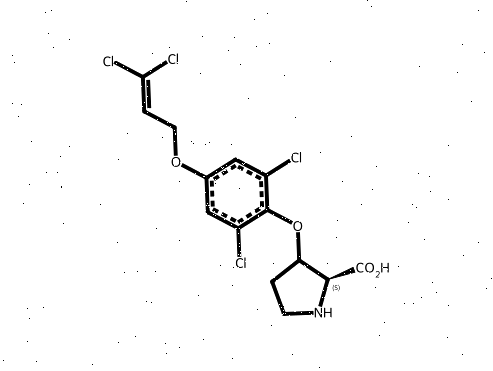 O=C(O)[C@H]1NCCC1Oc1c(Cl)cc(OCC=C(Cl)Cl)cc1Cl